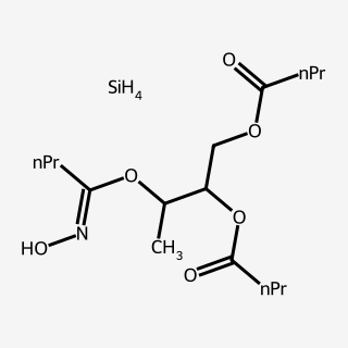 CCCC(=O)OCC(OC(=O)CCC)C(C)OC(CCC)=NO.[SiH4]